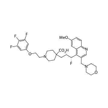 COc1ccc2ncc(CN3CCOCC3)c([C@H](F)CCC3(C(=O)O)CCN(CCOc4cc(F)c(F)c(F)c4)CC3)c2c1